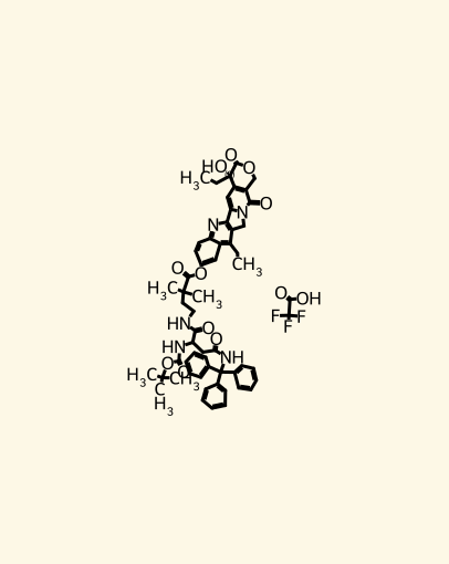 CCc1c2c(nc3ccc(OC(=O)C(C)(C)CCNC(=O)C(CC(=O)NC(c4ccccc4)(c4ccccc4)c4ccccc4)NC(=O)OC(C)(C)C)cc13)-c1cc3c(c(=O)n1C2)COC(=O)[C@]3(O)CC.O=C(O)C(F)(F)F